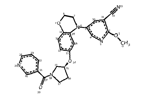 COc1ncc(N2CCOc3ccc(O[C@H]4CCN(C(=O)c5cccnc5)C4)cc32)cc1C#N